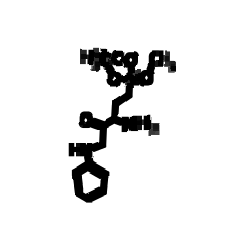 CO[Si](CCC(N)C(=O)CNc1ccccc1)(OC)OC